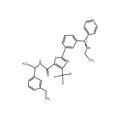 CCN[C@H](c1ccncc1)c1cccc(-c2nc(C(F)(F)F)c(C(=O)NC(C)c3cccc(OC)c3)s2)c1